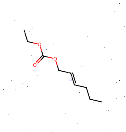 CCC/C=C/COC(=O)OCC